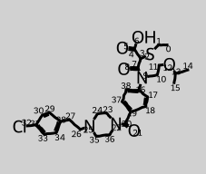 CCSC(C(=O)O)C(=O)N(CCOC(C)C)c1ccc(C(=O)N2CCN(CCc3ccc(Cl)cc3)CC2)cc1